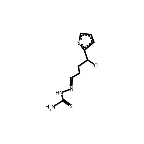 NC(=S)NN=CCCC(Cl)c1cccs1